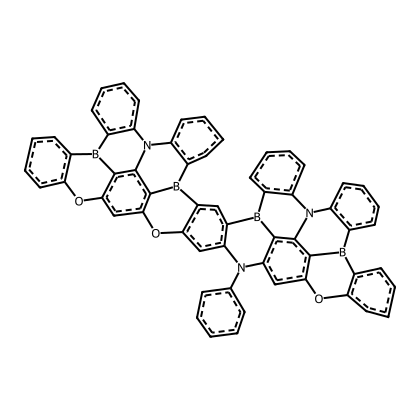 c1ccc(N2c3cc4c(cc3B3c5ccccc5N5c6ccccc6B6c7ccccc7Oc7cc2c3c5c76)B2c3ccccc3N3c5ccccc5B5c6ccccc6Oc6cc(c2c3c65)O4)cc1